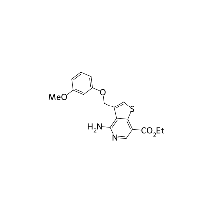 CCOC(=O)c1cnc(N)c2c(COc3cccc(OC)c3)csc12